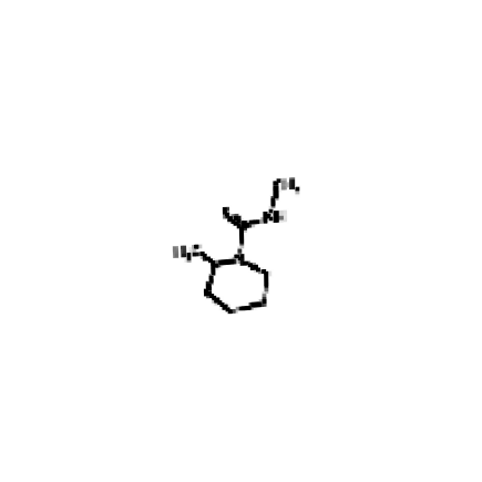 CNC(=S)N1CCCCC1C